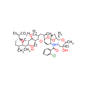 CC[C@@H](C(=O)[C@@H](C)[C@@H](O)[C@H](C)[C@@H]1O[C@@H]([C@@H](CC)C(=O)O)CC[C@@H]1C)[C@H]1O[C@]2(C=CC(NC(=O)c3ccccc3Cl)[C@]3(CC[C@@](C)([C@H]4CC[C@](O)(CC)[C@H](C)O4)O3)O2)[C@H](C)C[C@@H]1C